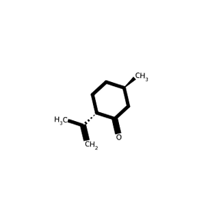 C=C(C)[C@@H]1CC[C@@H](C)CC1=O